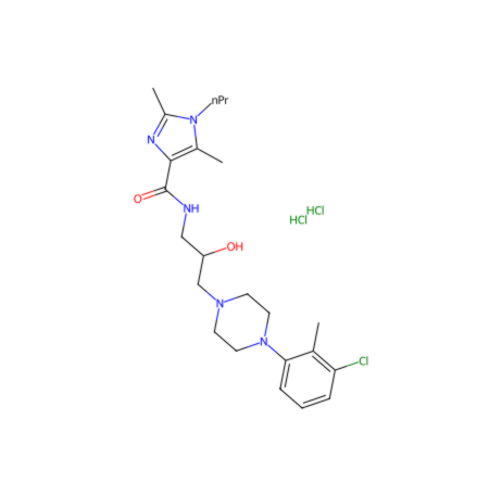 CCCn1c(C)nc(C(=O)NCC(O)CN2CCN(c3cccc(Cl)c3C)CC2)c1C.Cl.Cl